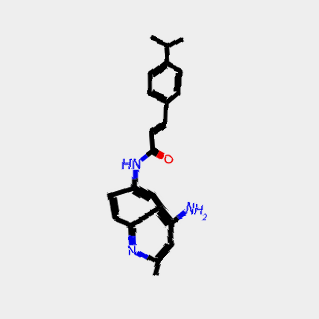 Cc1cc(N)c2cc(NC(=O)/C=C/c3ccc(C(C)C)cc3)ccc2n1